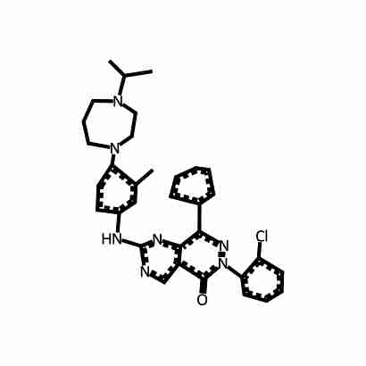 Cc1cc(Nc2ncc3c(=O)n(-c4ccccc4Cl)nc(-c4ccccc4)c3n2)ccc1N1CCCN(C(C)C)CC1